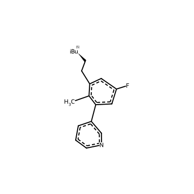 CC[C@H](C)CCc1cc(F)cc(-c2cccnc2)c1C